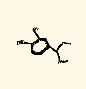 CCCCCCN(CCCCCC)c1ccc(C=O)c(O)c1